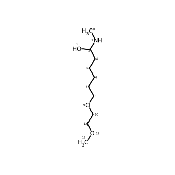 CNC(O)CCCCCOCCOC